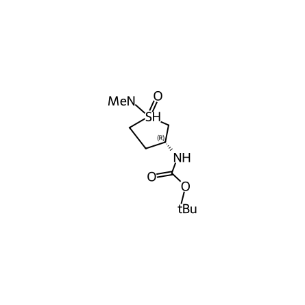 CN[SH]1(=O)CC[C@@H](NC(=O)OC(C)(C)C)C1